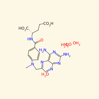 CN(Cc1cnc2nc(N)nc(N)c2n1)c1ccc(C(=O)N[C@@H](CCC(=O)O)C(=O)O)cc1.O.O.O.O